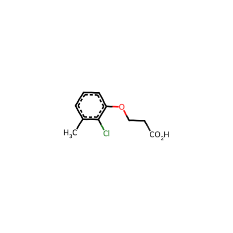 Cc1cccc(OCCC(=O)O)c1Cl